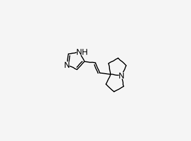 C(=CC12CCCN1CCC2)c1cnc[nH]1